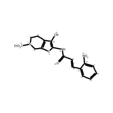 CCOC(=O)N1CCc2c(sc(NC(=O)/C=C/c3ccccc3[N+](=O)[O-])c2C#N)C1